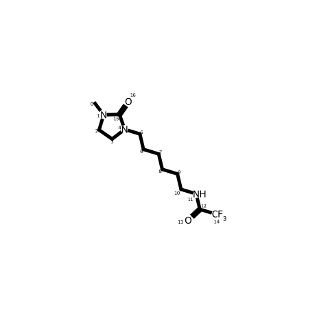 CN1CCN(CCCCCCNC(=O)C(F)(F)F)C1=O